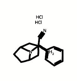 Cl.Cl.N#CC1(N)CC2CCC(C1)N2Cc1ccccc1